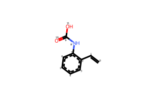 C=Cc1ccccc1NC(=O)O